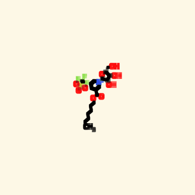 CCCCCCCOC(=O)c1ccc[n+]([C@@H]2O[C@H](CO)[C@H](O)[C@@H]2O)c1.O=S(=O)([O-])C(F)(F)F